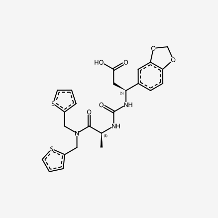 C[C@H](NC(=O)N[C@@H](CC(=O)O)c1ccc2c(c1)OCO2)C(=O)N(Cc1cccs1)Cc1cccs1